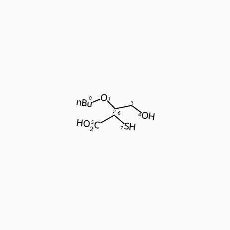 CCCCOCCO.O=C(O)CS